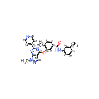 Cc1ccc(C(=O)Nc2cccc(C(F)(F)F)c2)cc1Oc1nc(-c2ccncc2)nc2c1cnn2C